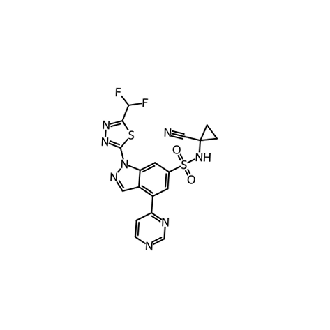 N#CC1(NS(=O)(=O)c2cc(-c3ccncn3)c3cnn(-c4nnc(C(F)F)s4)c3c2)CC1